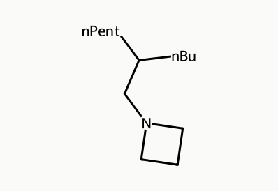 CCCCCC(CCCC)CN1CCC1